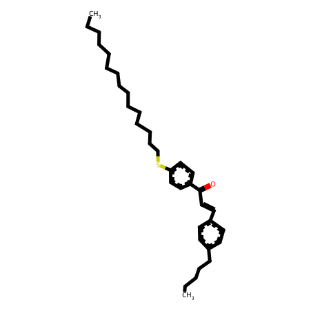 CCCCCCCCCCCCCCCSc1ccc(C(=O)/C=C/c2ccc(CCCCC)cc2)cc1